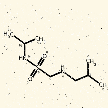 CC(C)CNCS(=O)(=O)NC(C)C